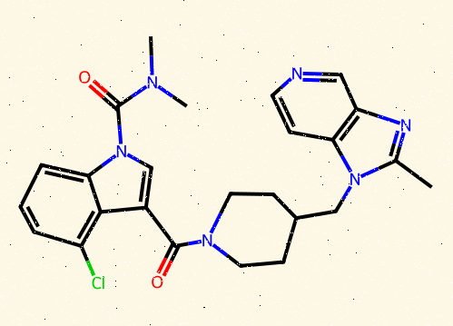 Cc1nc2cnccc2n1CC1CCN(C(=O)c2cn(C(=O)N(C)C)c3cccc(Cl)c23)CC1